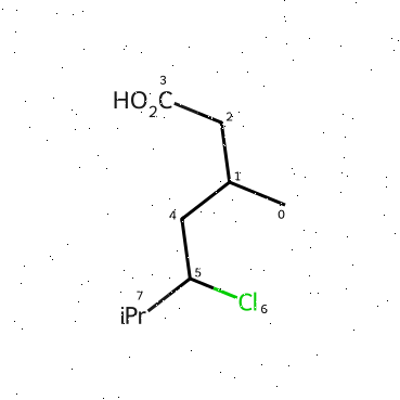 CC(CC(=O)O)CC(Cl)C(C)C